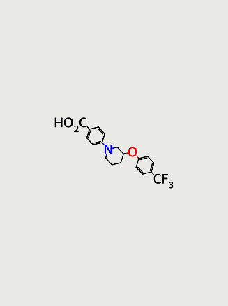 O=C(O)c1ccc(N2CCCC(Oc3ccc(C(F)(F)F)cc3)C2)cc1